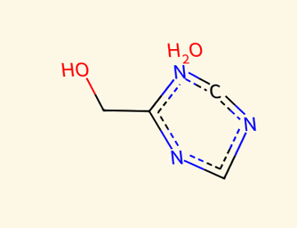 O.OCc1ncncn1